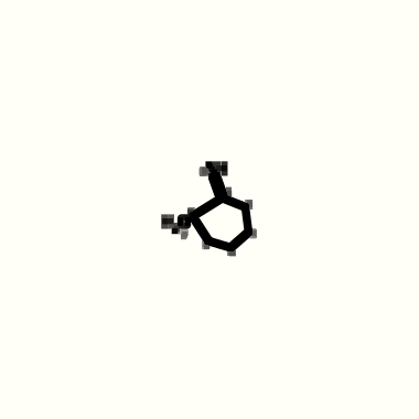 N=C1CCCCC1.O